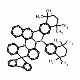 CC1(C)CCC(C)(C)c2cc(N3B4c5cccc6c5N(c5ccccc5C65c6ccccc6-c6ccccc65)c5c4c(cc4ccccc54)-c4cc5c(cc43)C(C)(C)CCC5(C)C)ccc21